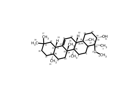 CO[C@@]1(C)C2CC[C@]3(C)[C@H](CC=C4[C@H]5CC(C)(C)CC[C@]5(C)CC[C@]43C)[C@@]2(C)CC[C@@H]1O